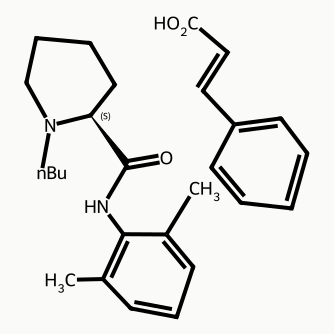 CCCCN1CCCC[C@H]1C(=O)Nc1c(C)cccc1C.O=C(O)C=Cc1ccccc1